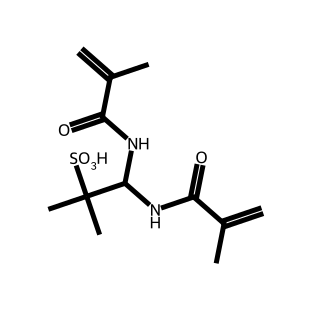 C=C(C)C(=O)NC(NC(=O)C(=C)C)C(C)(C)S(=O)(=O)O